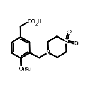 CC(C)COc1ccc(CC(=O)O)cc1CN1CCS(=O)(=O)CC1